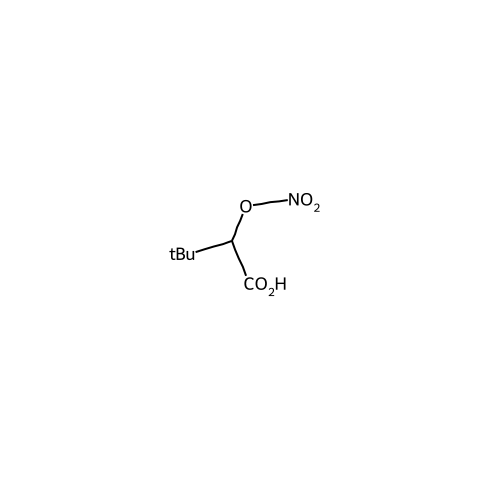 CC(C)(C)C(O[N+](=O)[O-])C(=O)O